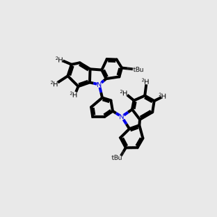 [2H]c1cc2c3ccc(C(C)(C)C)cc3n(-c3cccc(-n4c5cc(C(C)(C)C)ccc5c5cc([2H])c([2H])c([2H])c54)c3)c2c([2H])c1[2H]